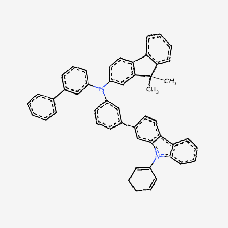 CC1(C)c2ccccc2-c2ccc(N(c3cccc(-c4ccccc4)c3)c3cccc(-c4ccc5c6ccccc6n(C6=CCCC=C6)c5c4)c3)cc21